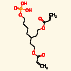 C=CC(=O)OCCC(CCCCOP(=O)(O)O)CCOC(=O)C=C